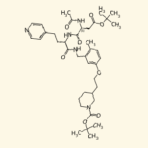 CC(=O)N[C@@H](CC(=O)OC(C)(C)C)C(=O)NC(CCc1ccncc1)C(=O)NCc1cc(OCCC2CCCN(C(=O)OC(C)(C)C)C2)ccc1C